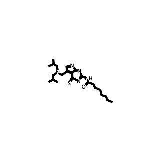 CCCCCCCC(=O)NC1=NC(=S)C2=C(CN(CC(C)C)CC(C)C)C=NC2=N1